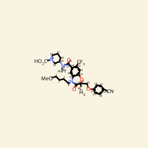 COCCCCN1C(=O)C(C)(COc2ccc(C#N)cc2)Oc2cc(C(F)(F)F)c(C(=O)N(C(C)C)[C@@H]3CCCN(C(=O)O)C3)cc21